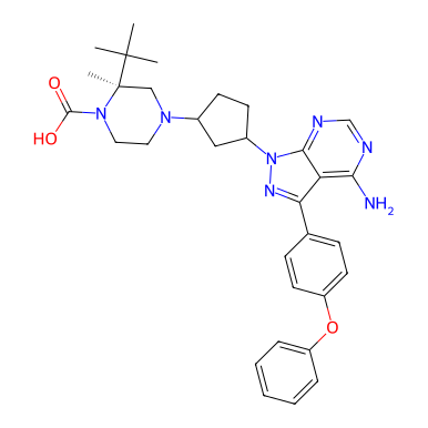 CC(C)(C)[C@@]1(C)CN(C2CCC(n3nc(-c4ccc(Oc5ccccc5)cc4)c4c(N)ncnc43)C2)CCN1C(=O)O